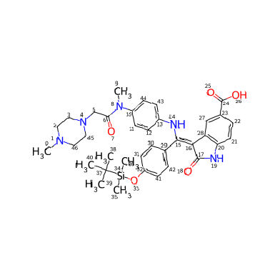 CN1CCN(CC(=O)N(C)c2ccc(NC(=C3C(=O)Nc4ccc(C(=O)O)cc43)c3ccc(O[Si](C)(C)C(C)(C)C)cc3)cc2)CC1